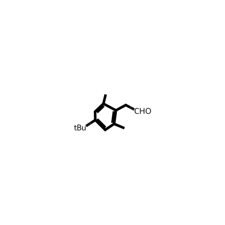 Cc1cc(C(C)(C)C)cc(C)c1CC=O